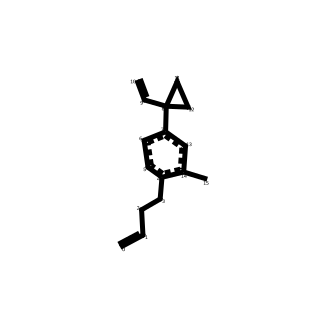 C=CCCc1ccc(C2(C=C)CC2)cc1C